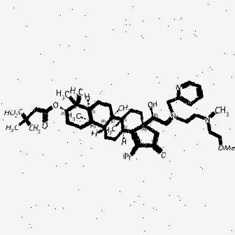 COCCN(C)CCN(Cc1ccccn1)C[C@H](O)[C@@]12CC[C@]3(C)[C@H](CC[C@@H]4[C@@]5(C)CC[C@H](OC(=O)CC(C)(C)C(=O)O)C(C)(C)[C@H]5CC[C@]43C)C1=C(C(C)C)C(=O)C2